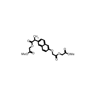 COC(=O)COC(=O)COc1ccc2cc(C(C)C(=O)OCC(=O)OC)ccc2c1